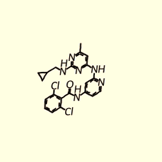 Cc1cc(Nc2cc(NC(=O)c3c(Cl)cccc3Cl)ccn2)nc(NCC2CC2)n1